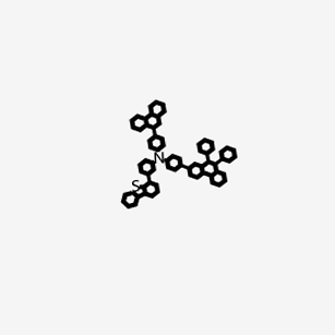 c1ccc(-c2c(-c3ccccc3)c3cc(-c4ccc(N(c5ccc(-c6cc7ccccc7c7ccccc67)cc5)c5cccc(-c6cccc7c6sc6ccccc67)c5)cc4)ccc3c3ccccc23)cc1